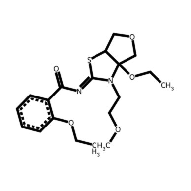 CCOc1ccccc1C(=O)N=C1SC2COCC2(OCC)N1CCOC